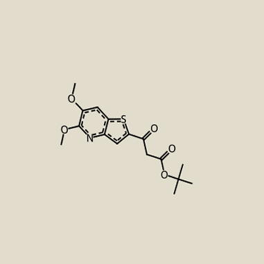 COc1cc2sc(C(=O)CC(=O)OC(C)(C)C)cc2nc1OC